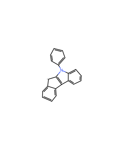 [C]1c2ccccc2-c2c1n(-c1ccccc1)c1ccccc21